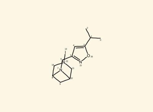 CC(C)c1cc(CN2C3CC2CN(I)C3)no1